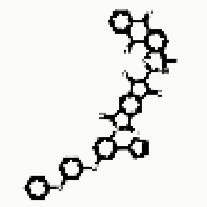 O=C1c2ccccc2C(=O)c2c1ccc1c(=O)[nH]c(C3C(=O)c4cc5c(cc4C3=O)C(=O)N(c3ccc(Oc4cccc(Oc6ccccc6)c4)cc3C3=CC=CC3)C5=O)nc21